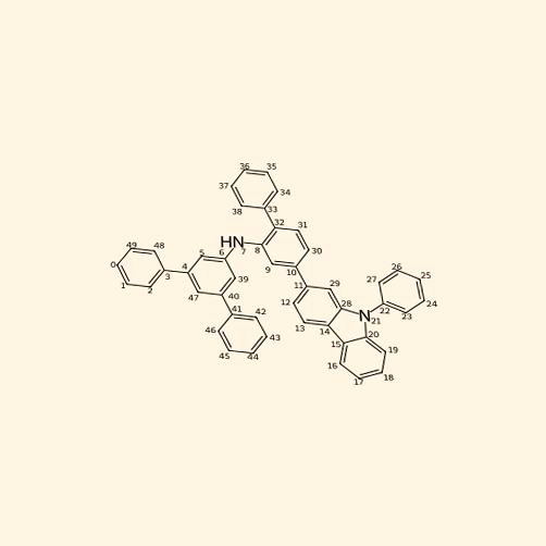 c1ccc(-c2cc(Nc3cc(-c4ccc5c6ccccc6n(-c6ccccc6)c5c4)ccc3-c3ccccc3)cc(-c3ccccc3)c2)cc1